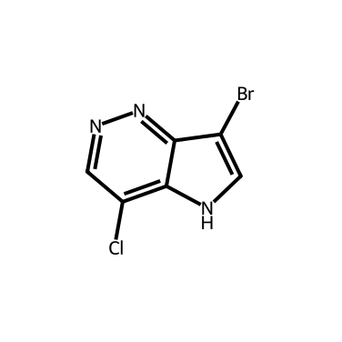 Clc1cnnc2c(Br)c[nH]c12